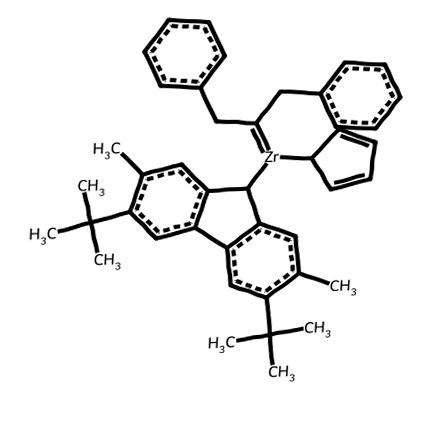 Cc1cc2c(cc1C(C)(C)C)-c1cc(C(C)(C)C)c(C)cc1[CH]2[Zr](=[C](Cc1ccccc1)Cc1ccccc1)[CH]1C=CC=C1